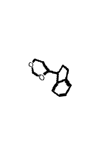 c1ccc2c(c1)CCC2C1CCOCO1